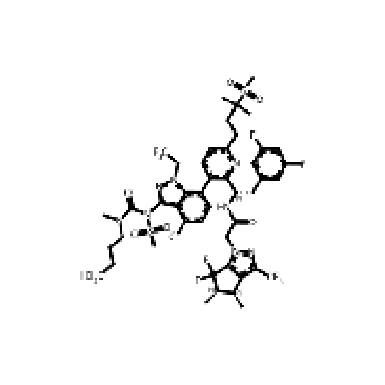 C[C@@H]1c2c(C(F)(F)F)nn(CC(=O)N[C@@H](Cc3cc(F)cc(F)c3)c3nc(CCC(C)(C)S(C)(=O)=O)ccc3-c3ccc(Cl)c4c(N(C(=O)N(C)CCCC(=O)O)S(C)(=O)=O)nn(CC(F)(F)F)c34)c2C(F)(F)[C@@H]1C